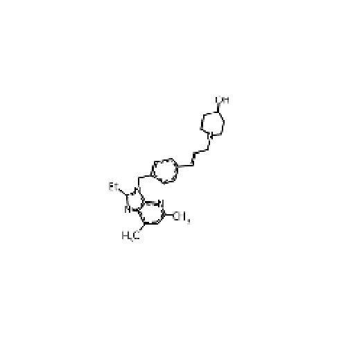 CCc1nc2c(C)cc(C)nc2n1Cc1ccc(/C=C/CN2CCC(O)CC2)cc1